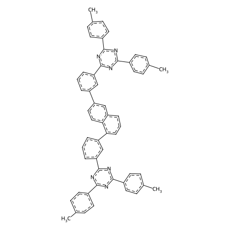 Cc1ccc(-c2nc(-c3ccc(C)cc3)nc(-c3cccc(-c4ccc5c(-c6cccc(-c7nc(-c8ccc(C)cc8)nc(-c8ccc(C)cc8)n7)c6)cccc5c4)c3)n2)cc1